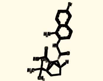 CC(C)(C)[C@]12CC[C@H](C1)[C@@H](C(=O)Nc1ccc3cc(Br)ccc3c1N)N2C(=O)O